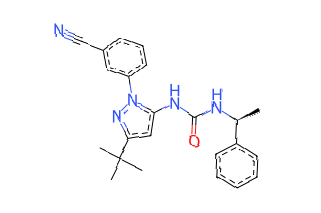 C[C@H](NC(=O)Nc1cc(C(C)(C)C)nn1-c1cccc(C#N)c1)c1ccccc1